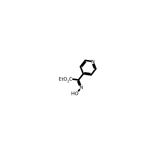 CCOC(=O)C(=NO)c1ccncc1